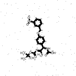 CC(C)(C)OC(=O)N=C(N)C(NC(=O)O)c1ccc(OCc2cccc([N+](=O)[O-])c2)cc1